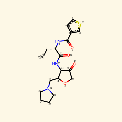 CC(C)(C)C[C@H](NC(=O)c1ccsc1)C(=O)NC1C(=O)COC1CN1CCCC1